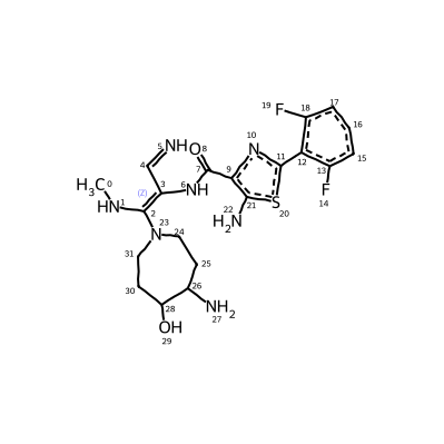 CN/C(=C(\C=N)NC(=O)c1nc(-c2c(F)cccc2F)sc1N)N1CCC(N)C(O)CC1